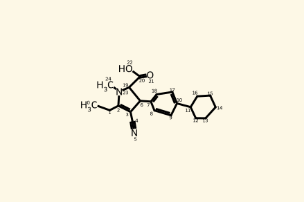 CCC1=C(C#N)C(c2ccc(C3CCCCC3)cc2)C(C(=O)O)N1C